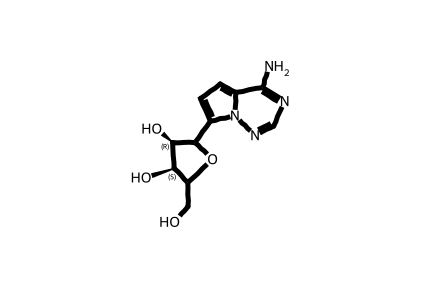 Nc1ncnn2c(C3OC(CO)[C@@H](O)[C@H]3O)ccc12